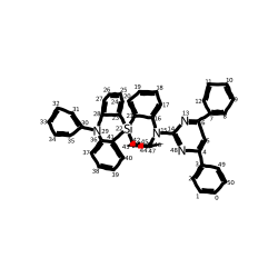 c1ccc(-c2cc(-c3ccccc3)nc(N3c4ccccc4[Si]4(c5ccccc5N(c5ccccc5)c5ccccc54)c4ccccc43)n2)cc1